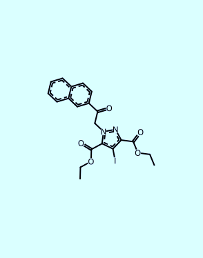 CCOC(=O)c1nn(CC(=O)c2ccc3ccccc3c2)c(C(=O)OCC)c1I